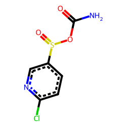 NC(=O)OS(=O)c1ccc(Cl)nc1